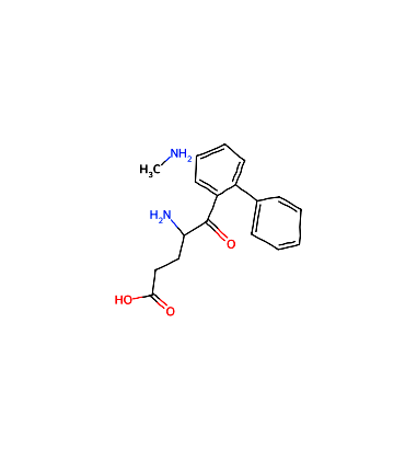 CN.NC(CCC(=O)O)C(=O)c1ccccc1-c1ccccc1